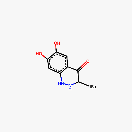 CC(C)(C)C1NNc2cc(O)c(O)cc2C1=O